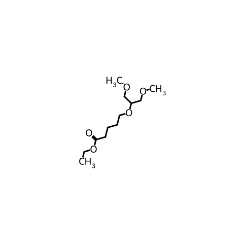 CCOC(=O)CCCCOC(COC)COC